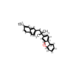 CC(C)(C)c1ccc2ccc(CC(C)(C)c3ccc4c(c3)oc3ccccc34)cc2c1